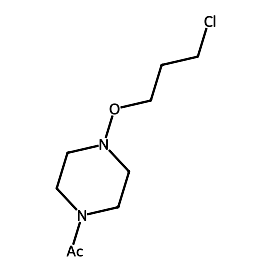 CC(=O)N1CCN(OCCCCl)CC1